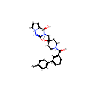 CC(C)c1ccc(-c2cccc(C(=O)N3CCC(O)(Cn4cnn5cccc5c4=O)CC3)c2)cc1